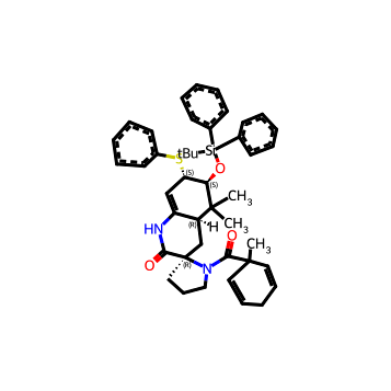 CC1(C(=O)N2CCC[C@]23C[C@H]2C(=C[C@H](Sc4ccccc4)[C@@H](O[Si](c4ccccc4)(c4ccccc4)C(C)(C)C)C2(C)C)NC3=O)C=CCC=C1